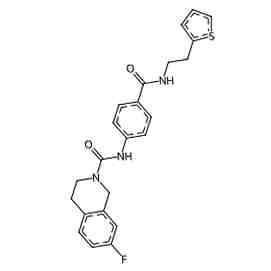 O=C(NCCc1cccs1)c1ccc(NC(=O)N2CCc3ccc(F)cc3C2)cc1